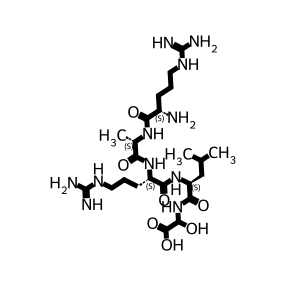 CC(C)C[C@H](NC(=O)[C@H](CCCNC(=N)N)NC(=O)[C@H](C)NC(=O)[C@@H](N)CCCNC(=N)N)C(=O)NC(O)C(=O)O